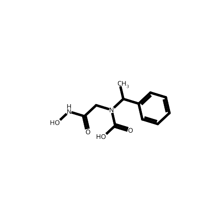 CC(c1ccccc1)N(CC(=O)NO)C(=O)O